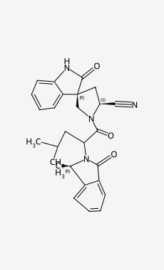 CC(C)CC(C(=O)N1C[C@]2(C[C@H]1C#N)C(=O)Nc1ccccc12)N1C(=O)c2ccccc2[C@H]1C